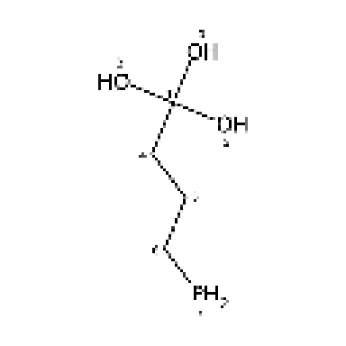 OC(O)(O)CCCP